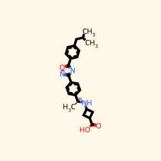 CC(C)Cc1ccc(-c2nc(-c3ccc([C@@H](C)NC4CC(C(=O)O)C4)cc3)no2)cc1